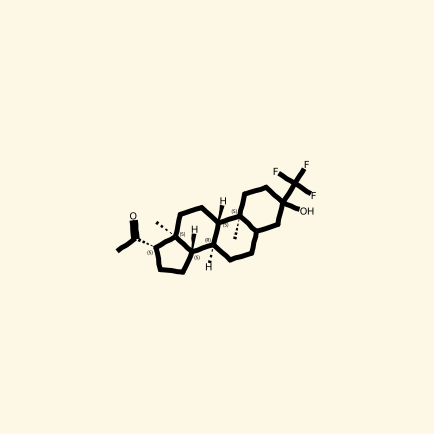 CC(=O)[C@H]1CC[C@H]2[C@@H]3CCC4CC(O)(C(F)(F)F)CC[C@]4(C)[C@H]3CC[C@]12C